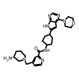 N[C@@H]1CCCN(Cc2ccnc(C(=O)NC3CCC(c4cc5c(N6CCOCC6)ncnc5[nH]4)CC3)c2)C1